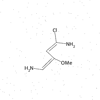 COC(/C=C(\N)Cl)=C/N